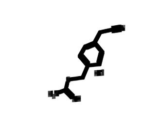 Cl.N#CCc1ccc(CSC(=N)N)cc1